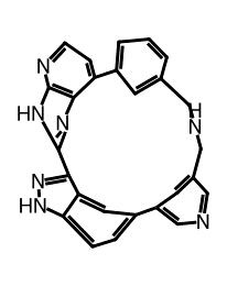 c1cc2cc(c1)-c1ccnc3[nH]c(nc13)-c1n[nH]c3ccc(cc13)-c1cncc(c1)CNC2